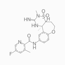 Cc1cc(F)cnc1C(=O)Nc1ccc2c(c1)[C@@]1(C)NC(=N)N(C)S(=O)(=O)[C@@H]1CCO2